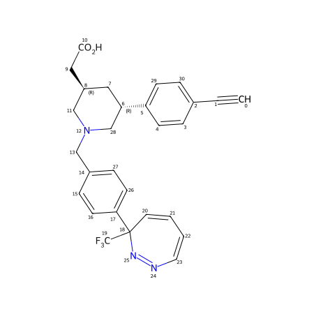 C#Cc1ccc([C@H]2C[C@H](CC(=O)O)CN(Cc3ccc(C4(C(F)(F)F)C=CC=CN=N4)cc3)C2)cc1